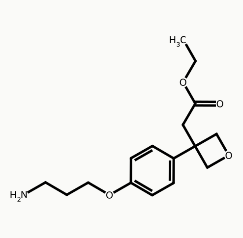 CCOC(=O)CC1(c2ccc(OCCCN)cc2)COC1